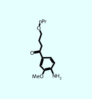 CCCOCCCC(=O)c1ccc(N)c(OC)c1